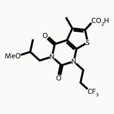 COC(C)Cn1c(=O)c2c(C)c(C(=O)O)sc2n(CCC(F)(F)F)c1=O